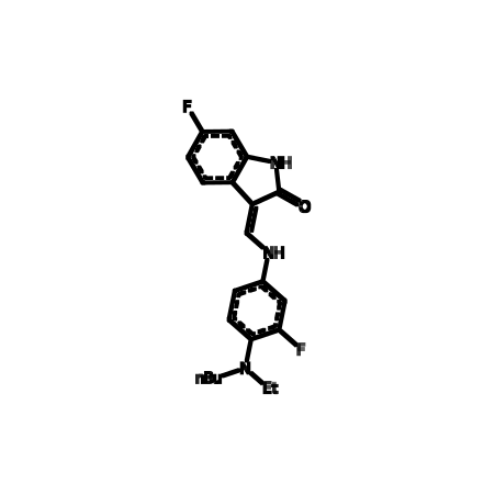 CCCCN(CC)c1ccc(NC=C2C(=O)Nc3cc(F)ccc32)cc1F